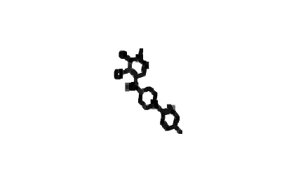 Cc1ccc(N2CCC(Nc3cnn(C)c(=O)c3Cl)CC2)nc1